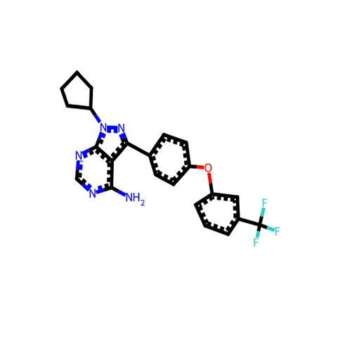 Nc1ncnc2c1c(-c1ccc(Oc3cccc(C(F)(F)F)c3)cc1)nn2C1CCCC1